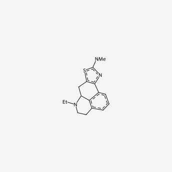 CCN1CCc2cccc3c2C1Cc1sc(NC)nc1-3